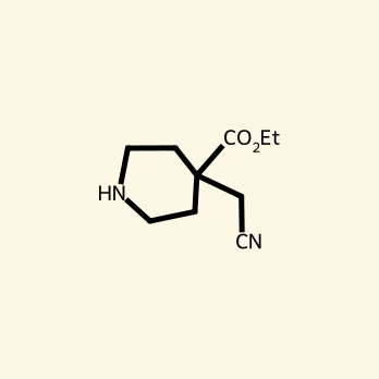 CCOC(=O)C1(CC#N)CCNCC1